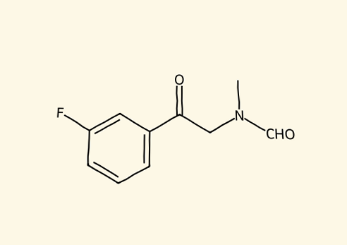 CN(C=O)CC(=O)c1cccc(F)c1